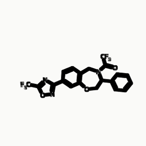 O=C(N1Cc2ccc(-c3noc(C(F)(F)F)n3)cc2OCC1c1ccccc1)C(F)(F)F